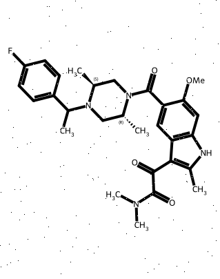 COc1cc2[nH]c(C)c(C(=O)C(=O)N(C)C)c2cc1C(=O)N1C[C@H](C)N(C(C)c2ccc(F)cc2)C[C@H]1C